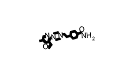 Cc1cnc(N2CCN(CCC3CCC(C(N)=O)CC3)CC2)c2ccoc12